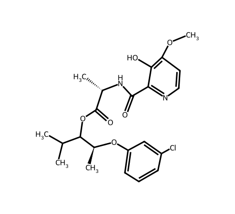 COc1ccnc(C(=O)N[C@@H](C)C(=O)OC(C(C)C)[C@H](C)Oc2cccc(Cl)c2)c1O